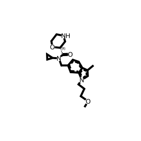 COCCCn1cc(C)c2ccc(CN(C(=O)[C@H]3CNCCO3)C3CC3)cc21